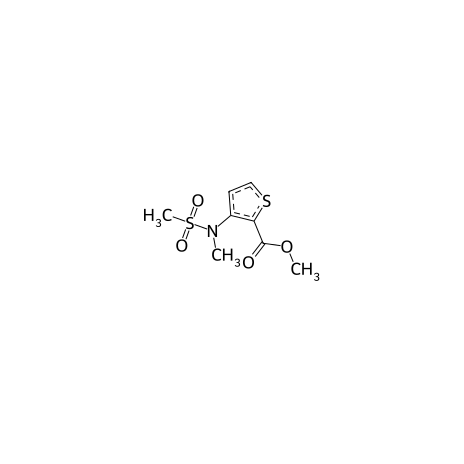 COC(=O)c1sccc1N(C)S(C)(=O)=O